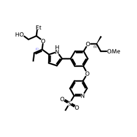 C/C=C(/OC(CC)CO)c1ccc(-c2cc(Oc3ccc(S(C)(=O)=O)nc3)cc(O[C@@H](C)COC)c2)[nH]1